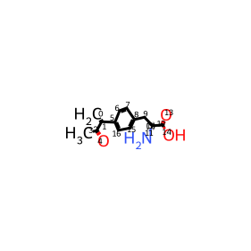 C=C(C(C)=O)c1ccc(C[C@H](N)C(=O)O)cc1